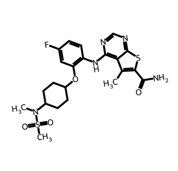 Cc1c(C(N)=O)sc2ncnc(Nc3ccc(F)cc3OC3CCC(N(C)S(C)(=O)=O)CC3)c12